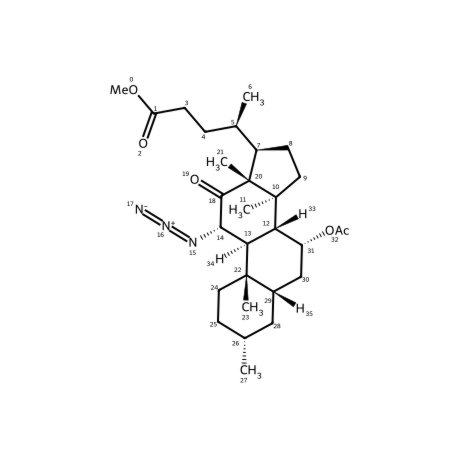 COC(=O)CC[C@@H](C)[C@H]1CC[C@@]2(C)[C@H]3[C@H]([C@H](N=[N+]=[N-])C(=O)[C@]12C)[C@@]1(C)CC[C@@H](C)C[C@H]1C[C@H]3OC(C)=O